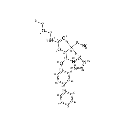 CCOCNC(=O)OC(C(Oc1ccc(-c2ccccc2)cc1)n1cncn1)C(C)(C)CBr